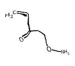 C=CC(=O)CON